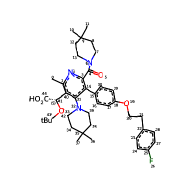 Cc1nc(C(=O)N2CCC(C)(C)CC2)c(-c2ccc(OCCc3ccc(F)cc3)cc2)c(N2CCC(C)(C)CC2)c1[C@H](OC(C)(C)C)C(=O)O